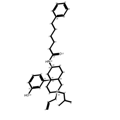 C=CC[N@@+]1(CC(C)C)CC[C@]2(c3cccc(O)c3)C[C@@H](NC(=O)CCCCCc3ccccc3)CCC2C1